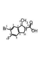 CC1c2cc(Br)c(F)cc2CN1C(=O)O